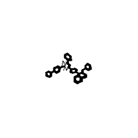 c1ccc(Cc2ccc3ccccc3c2-c2ccc(-c3cc(-c4ccccc4)nc(-c4ccc(-c5ccccc5)cc4)n3)cc2)cc1